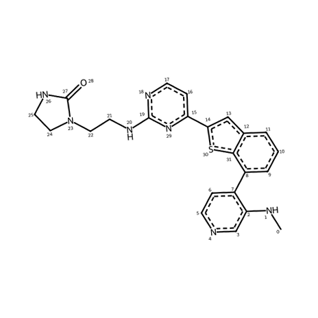 CNc1cnccc1-c1cccc2cc(-c3ccnc(NCCN4CCNC4=O)n3)sc12